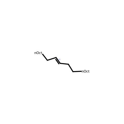 [CH2]CCCCCCCC/C=C/CCCCCCCCC[CH2]